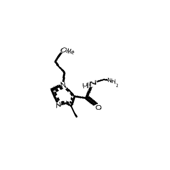 COCCn1cnc(C)c1C(=O)NN